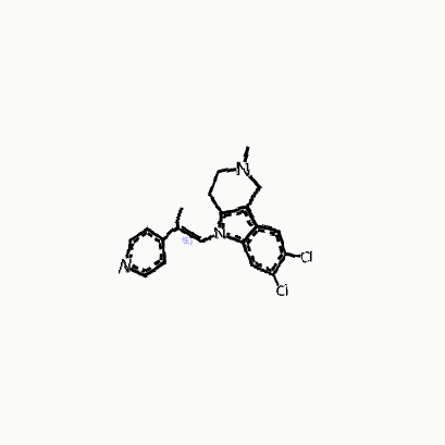 C/C(=C\n1c2c(c3cc(Cl)c(Cl)cc31)CN(C)CC2)c1ccncc1